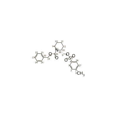 Cc1ccc(S(=O)(=O)OC[C@H]2CCCCN2C(=O)OCc2ccccc2)cc1